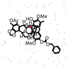 COc1cc2c(cc1OC(=O)OCc1ccccc1)CCN[C@]21CS[C@@H]2c3c(OC(C)=O)c(C)c4c(c3[C@H](COC1=O)N1C2[C@@H]2c3c(cc(C)c(OC)c3O)C[C@@H]([C@@H]1O)N2C)OCO4